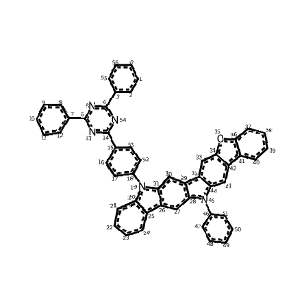 c1ccc(-c2nc(-c3ccccc3)nc(-c3ccc(-n4c5ccccc5c5cc6c(cc54)c4cc5oc7ccccc7c5cc4n6-c4ccccc4)cc3)n2)cc1